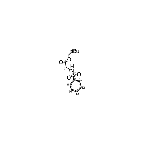 CCC(C)COC(=O)CNS(=O)(=O)c1ccccc1